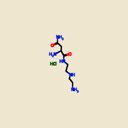 Cl.NCCNCCNC(=O)[C@@H](N)CC(N)=O